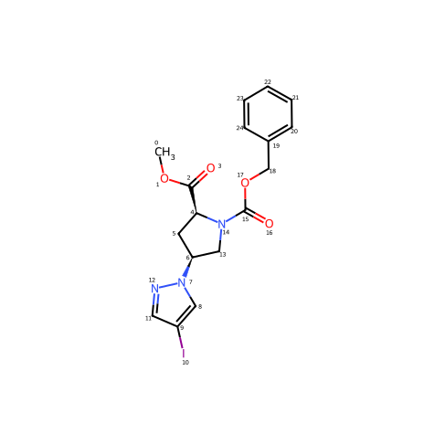 COC(=O)[C@@H]1C[C@H](n2cc(I)cn2)CN1C(=O)OCc1ccccc1